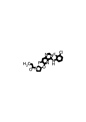 C=CC(=O)N1CC[C@H](Oc2nc3c(Nc4cccc(Cl)c4F)ncnc3cc2F)C1